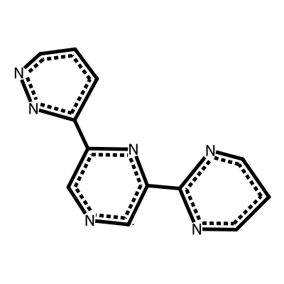 [c]1ncc(-c2cccnn2)nc1-c1ncccn1